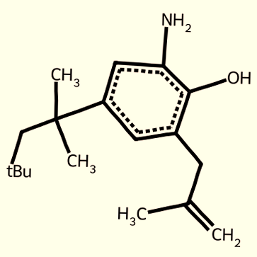 C=C(C)Cc1cc(C(C)(C)CC(C)(C)C)cc(N)c1O